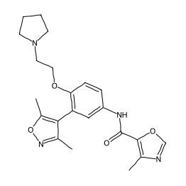 Cc1ncoc1C(=O)Nc1ccc(OCCN2CCCC2)c(-c2c(C)noc2C)c1